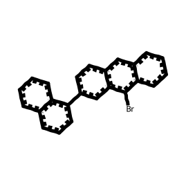 Brc1c2ccccc2cc2ccc(-c3cccc4ccccc34)cc12